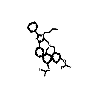 CCCCn1c(-c2ccccc2)nc(-c2ccccc2)c1CN(Cc1ccc(OC(F)F)cc1)Cc1cccc(OC(F)F)c1